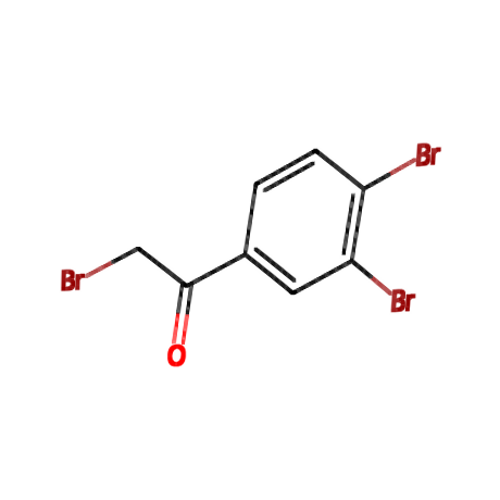 O=C(CBr)c1ccc(Br)c(Br)c1